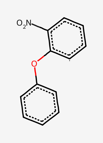 O=[N+]([O-])c1ccc[c]c1Oc1ccccc1